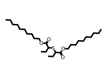 CCCCCCCCCCOC(=O)C(CC)SC(CC)C(=O)OCCCCCCCCCC